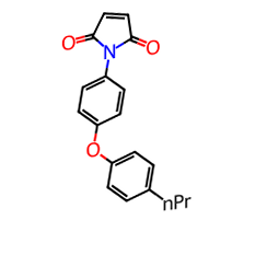 [CH2]CCc1ccc(Oc2ccc(N3C(=O)C=CC3=O)cc2)cc1